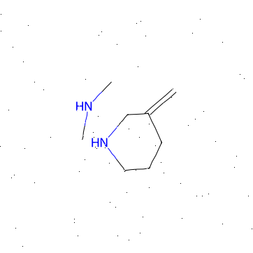 C=C1CCCNC1.CNC